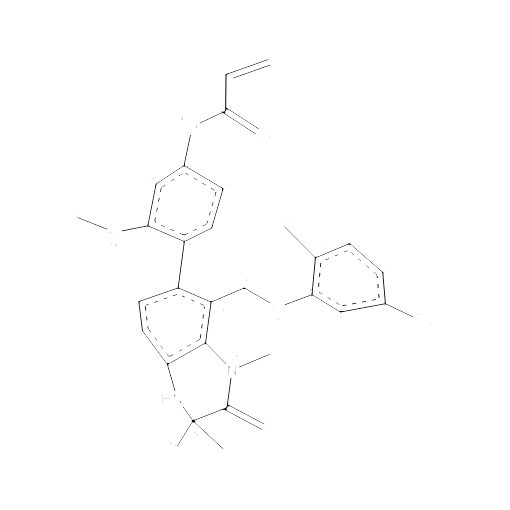 C=CC(=O)Oc1ccc(-c2ccc3c(c2COc2cc(F)ccc2C)N(C)C(=O)C(C)(C)N3)c(OC)c1